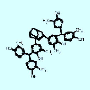 Cc1cc(C(c2ccc(O)c(C)c2)c2cc(C34CC5CC(C3)CC(c3cc(C)c(O)c(C(c6ccc(O)c(C)c6)c6ccc(O)c(C)c6)c3)(C5)C4)cc(C)c2O)ccc1O